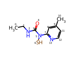 CCNC(=O)N(S)c1cc(C)ccn1